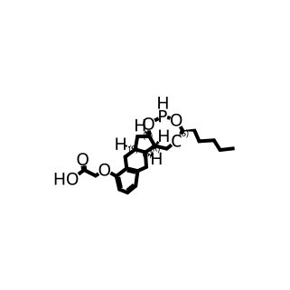 CCCCC[C@H]1CC[C@@H]2[C@H]3Cc4cccc(OCC(=O)O)c4C[C@H]3C[C@H]2OPO1